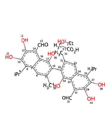 CC(=O)O.CCO.Cc1cc2c(C(C)C)c(O)c(O)c(C=O)c2c(O)c1-c1c(C)cc2c(C(C)C)c(O)c(O)c(C=O)c2c1O